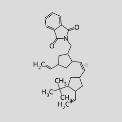 C=CC1CC(/C=C\C2CC(C=C)C(C(C)(C)C)C2)C(CN2C(=O)c3ccccc3C2=O)C1